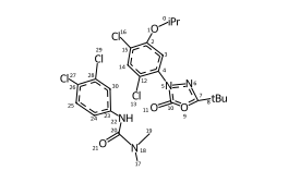 CC(C)Oc1cc(-n2nc(C(C)(C)C)oc2=O)c(Cl)cc1Cl.CN(C)C(=O)Nc1ccc(Cl)c(Cl)c1